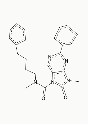 CN(CCCCc1ccccc1)C(=O)n1c(=O)n(C)c2nc(-c3ccccc3)ncc21